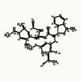 C=C1C=C(N/C(=N/C(=O)N(CC(/C=C(\C)CC)=C(F)/C=C(\C)F)C2=CN(C)C3C=CC=CN23)NC=O)C(O)=CC1NC